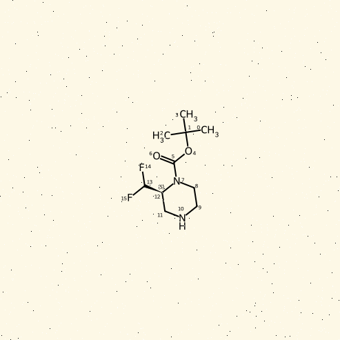 CC(C)(C)OC(=O)N1CCNC[C@H]1C(F)F